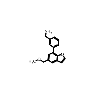 COCc1cc(-c2cccc(CN)c2)c2occc2c1